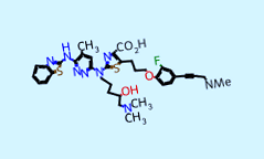 CNCC#Cc1ccc(OCCCc2sc(N(CCCC(O)CN(C)C)c3cc(C)c(Nc4nc5ccccc5s4)nn3)nc2C(=O)O)c(F)c1